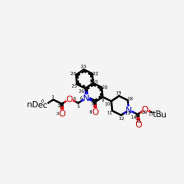 CCCCCCCCCCCC(=O)OCn1c(=O)c(C2CCN(C(=O)OC(C)(C)C)CC2)cc2ccccc21